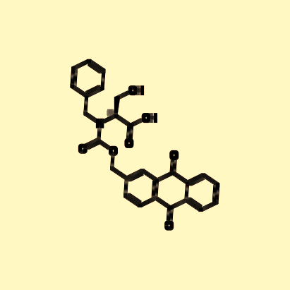 O=C1c2ccccc2C(=O)c2cc(COC(=O)N(Cc3ccccc3)[C@@H](CO)C(=O)O)ccc21